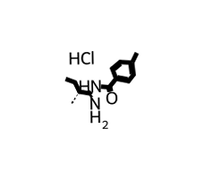 CC[C@@H](C)[C@H](N)NC(=O)c1ccc(C)cc1.Cl